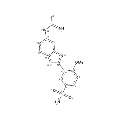 COc1ccc(S(N)(=O)=O)cc1-c1nc2cc(NC(C)=N)ccc2s1